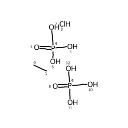 CC.Cl.O=P(O)(O)O.O=P(O)(O)O